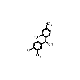 N#CC(c1ccc(Cl)c(C(F)(F)F)c1)c1ccc([N+](=O)[O-])cc1C(F)(F)F